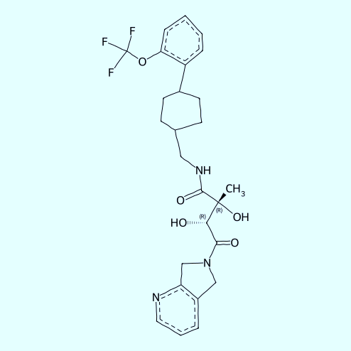 C[C@](O)(C(=O)NCC1CCC(c2ccccc2OC(F)(F)F)CC1)[C@@H](O)C(=O)N1Cc2cccnc2C1